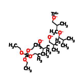 CC(C)C[O-].CC(C)C[O-].CC(C)C[O-].CC(C)C[O-].CCO[Si](OCC)(OCC)OCC.[Ti+4]